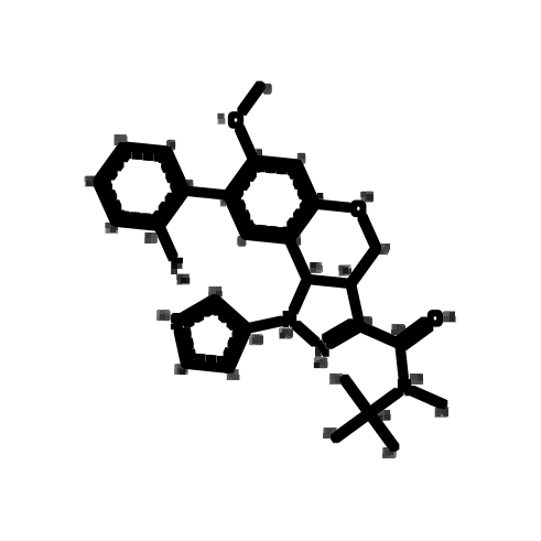 COc1cc2c(cc1-c1ccccc1F)C1C(CO2)C(C(=O)N(C)C(C)(C)C)=NN1c1ccsc1